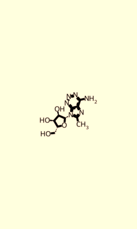 Cc1nc2c(N)nnnc2n1[C@@H]1O[C@H](CO)[C@@H](O)[C@H]1O